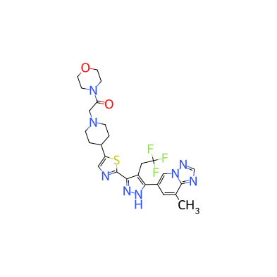 Cc1cc(-c2[nH]nc(-c3ncc(C4CCN(CC(=O)N5CCOCC5)CC4)s3)c2CC(F)(F)F)cn2ncnc12